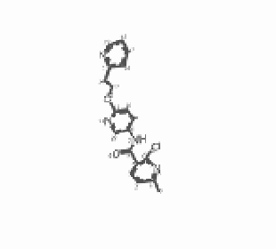 Cc1ccc(C(=O)Nc2ccc(OCCc3ccccn3)nc2)c(Cl)n1